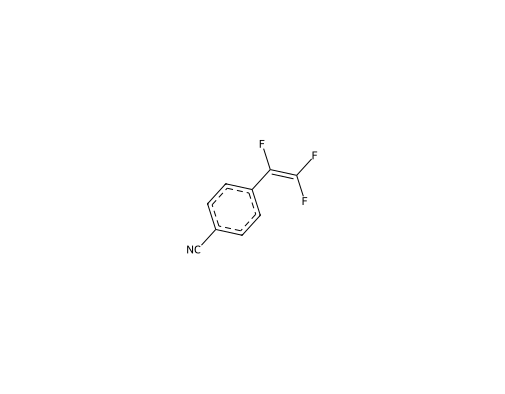 N#Cc1ccc(C(F)=C(F)F)cc1